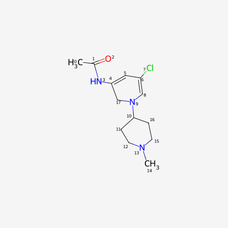 CC(=O)NC1=CC(Cl)=CN(C2CCN(C)CC2)C1